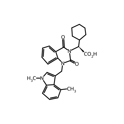 Cc1cccc2c1c(Cn1c(=O)n([C@H](C(=O)O)C3CCCCC3)c(=O)c3ccccc31)cn2C